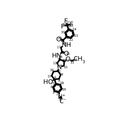 [C-]#[N+]c1ccc(C2(O)CCC(N3CC(NC(=O)CNC(=O)c4cccc(C(F)(F)F)c4)[C@@H](OCC)C3)CC2)cc1